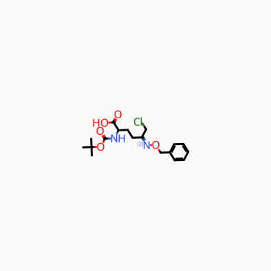 CC(C)(C)OC(=O)NC(CC/C(CCl)=N/OCc1ccccc1)C(=O)O